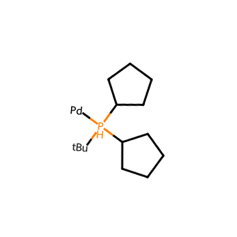 CC(C)(C)[PH]([Pd])(C1CCCC1)C1CCCC1